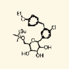 CCOc1ccc(Cc2cc(C3OC(CO[Si](C)(C)C(C)(C)C)C(O)C(O)C3O)ccc2Cl)cc1